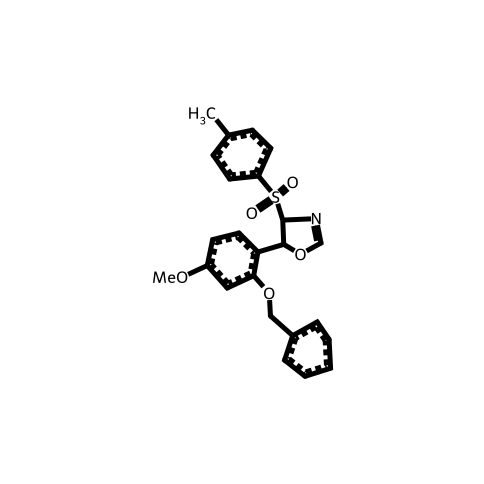 COc1ccc(C2OC=NC2S(=O)(=O)c2ccc(C)cc2)c(OCc2ccccc2)c1